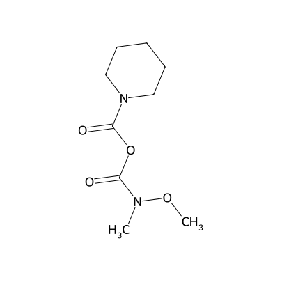 CON(C)C(=O)OC(=O)N1CCCCC1